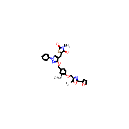 COc1cc(COc2nn(-c3ccccc3)cc2CC2SC(=O)N(C)C2=O)ccc1OCc1nc(-c2ccco2)oc1C